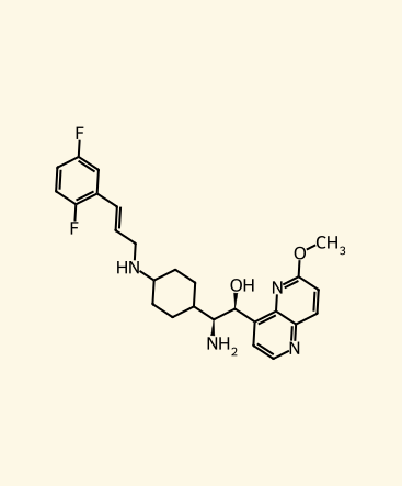 COc1ccc2nccc([C@H](O)[C@@H](N)C3CCC(NC/C=C/c4cc(F)ccc4F)CC3)c2n1